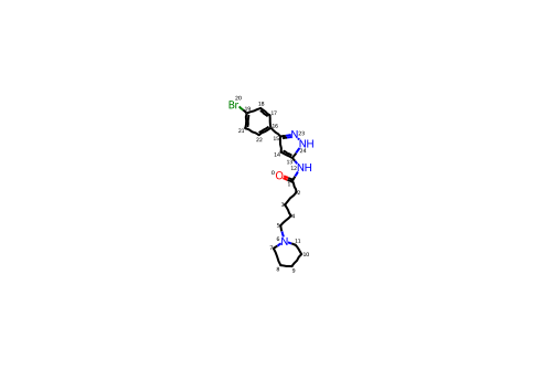 O=C(CCCCN1CCCCC1)Nc1cc(-c2ccc(Br)cc2)n[nH]1